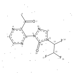 CC(=O)c1nccnc1-n1ncn(C(F)C(F)F)c1=O